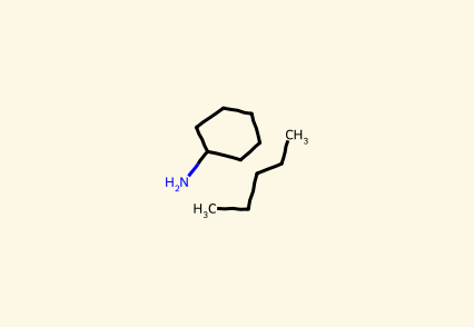 CCCCC.NC1CCCCC1